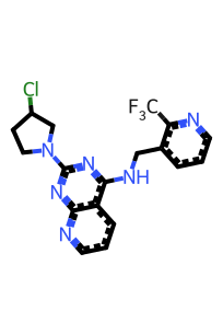 FC(F)(F)c1ncccc1CNc1nc(N2CCC(Cl)C2)nc2ncccc12